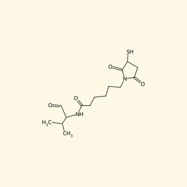 CC(C)C(C=O)NC(=O)CCCCCN1C(=O)CC(S)C1=O